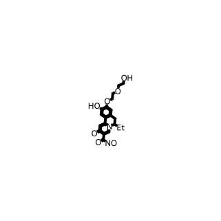 CCC1Cc2cc(OCCOCCO)c(O)cc2-c2cc(=O)c(C(=O)N=O)cn21